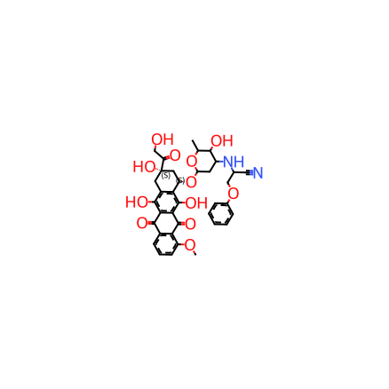 COc1cccc2c1C(=O)c1c(O)c3c(c(O)c1C2=O)C[C@@](O)(C(=O)CO)C[C@@H]3OC1CC(NC(C#N)COc2ccccc2)C(O)C(C)O1